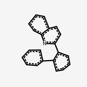 c1ccc(-c2ccccc2-c2ccc3ccccc3n2)cc1